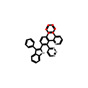 c1ccc(-c2cccnc2-c2c(-c3ccccc3)ccc(-c3[se]c4ccccc4c3-c3ccccc3)c2-c2ccnnn2)cc1